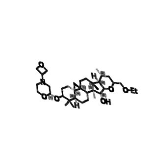 CCOCC1C[C@@H](C)[C@H]2C(O1)[C@H](O)[C@@]1(C)C3CC[C@H]4C(C)(C)C(O[C@H]5CN(C6COC6)CCO5)CC[C@@]45C[C@@]35CC[C@]21C